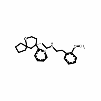 COc1ccccc1CCNCC[C@@]1(c2ccccn2)CCOC2(CCCC2)C1